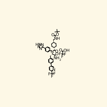 CC(C)(C)OC(=O)NC[C@H]1CC[C@H](C(=O)N(c2ccc(-c3nn[nH]n3)cc2)[C@@H](Cc2ccc(-c3ccc(C(F)(F)F)nc3)cc2)C(N)=O)CC1.O=C(O)C(F)(F)F